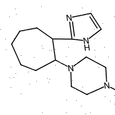 CN1CCN(C2CCCCCC2c2ncc[nH]2)CC1